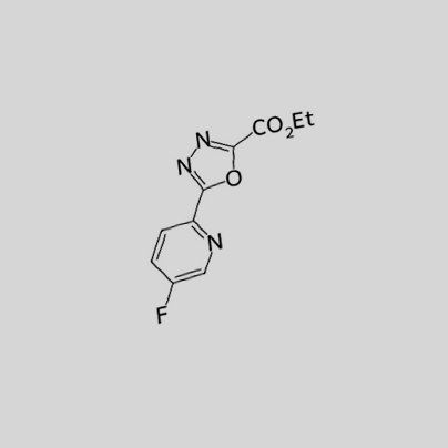 CCOC(=O)c1nnc(-c2ccc(F)cn2)o1